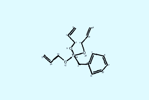 C=CC[O][Ti]([CH2]c1ccccc1)([O]CC=C)[O]CC=C